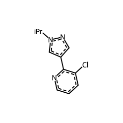 CC(C)n1cc(-c2ncccc2Cl)cn1